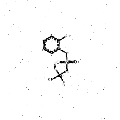 O=S(=O)(Cc1ccccc1F)CC(F)(F)F